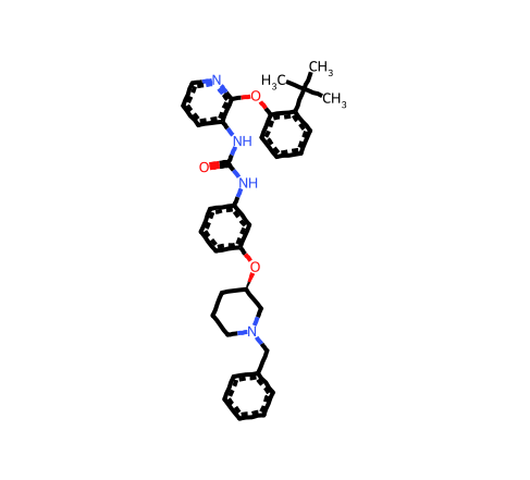 CC(C)(C)c1ccccc1Oc1ncccc1NC(=O)Nc1cccc(O[C@@H]2CCCN(Cc3ccccc3)C2)c1